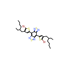 CCCCC(CC)Cc1cc(-c2c3c(c(-c4cc(CC(CC)CCCC)c(Br)s4)c4nsnc24)N=S=N3)sc1Br